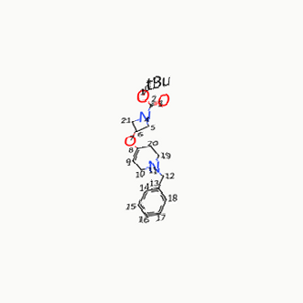 CC(C)(C)OC(=O)N1CC(OC2=CCN(Cc3ccccc3)CC2)C1